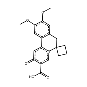 COc1cc2c(cc1OC)-c1cc(=O)c(C(=O)O)cn1C1(CCC1)C2